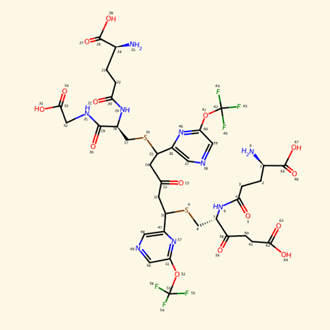 N[C@H](CCC(=O)N[C@@H](CSC(CC(=O)CC(SC[C@H](NC(=O)CC[C@H](N)C(=O)O)C(=O)NCC(=O)O)c1cncc(OC(F)(F)F)n1)c1cncc(OC(F)(F)F)n1)C(=O)CCC(=O)O)C(=O)O